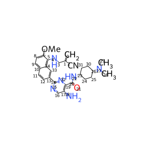 C=C(C#N)CNc1c(OC)ccc2ccc(-c3ncc(N)c(C(=O)N[C@H]4CC[C@@H](N(C)C)CC4)n3)cc12